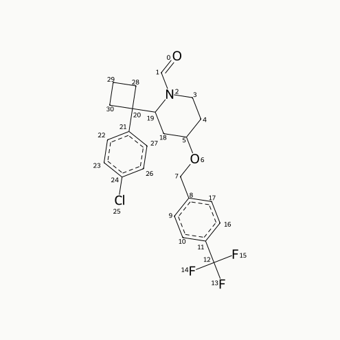 O=CN1CCC(OCc2ccc(C(F)(F)F)cc2)CC1C1(c2ccc(Cl)cc2)CCC1